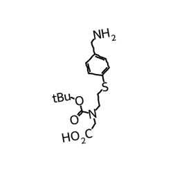 CC(C)(C)OC(=O)N(CCSc1ccc(CN)cc1)CC(=O)O